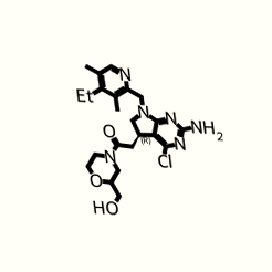 CCc1c(C)cnc(CN2C[C@H](CC(=O)N3CCOC(CO)C3)c3c(Cl)nc(N)nc32)c1C